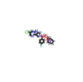 O=C(c1ccc(F)cc1OC1CC2CCC(C1)N2CCO)N1Cc2nn3cc(Cl)cnc3c2C1